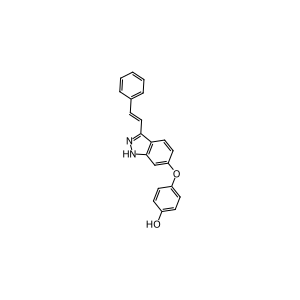 Oc1ccc(Oc2ccc3c(C=Cc4ccccc4)n[nH]c3c2)cc1